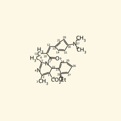 CCOC(=O)C1=C(C)N=C(C)N(C(=O)/C(C)=C\c2ccc(N(C)C)cc2)C1c1ccccc1Cl